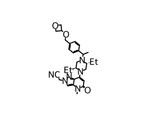 CC[C@H]1CN(C(C)c2ccc(COC3COC3)cc2)[C@H](CC)CN1c1cc(=O)n(C)c2cn(CC#N)nc12